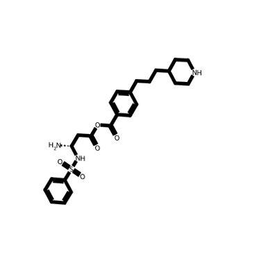 N[C@H](CC(=O)OC(=O)c1ccc(CCCC2CCNCC2)cc1)NS(=O)(=O)c1ccccc1